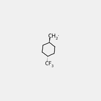 [CH2][C@H]1CC[C@H](C(F)(F)F)CC1